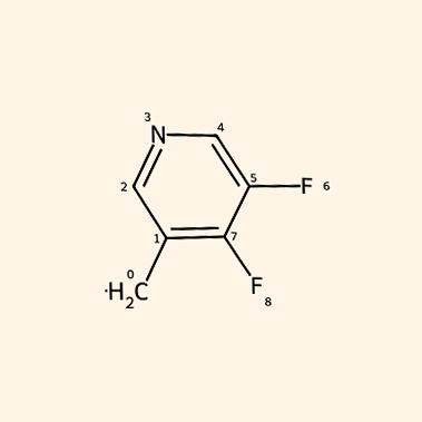 [CH2]c1cncc(F)c1F